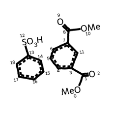 COC(=O)c1cccc(C(=O)OC)c1.O=S(=O)(O)c1ccccc1